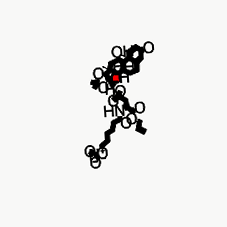 C=CCOC(=O)C(CC(=O)OCC(=O)[C@@]12OC(C)(C)O[C@@H]1C[C@H]1[C@@H]3CCC4=CC(=O)C=C[C@]4(C)[C@@]3(F)[C@@H](O)C[C@@]12C)NC(=O)CCCCCO[N+](=O)[O-]